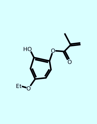 C=C(C)C(=O)Oc1ccc(OCC)cc1O